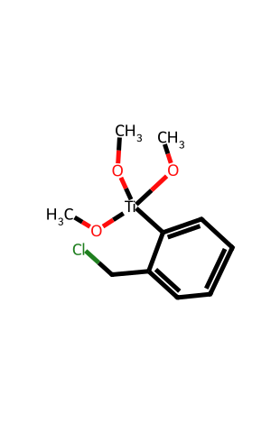 C[O][Ti]([O]C)([O]C)[c]1ccccc1CCl